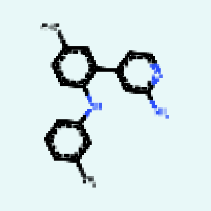 Nc1cc(-c2cc(C=O)ccc2Nc2cccc(C(F)(F)F)c2)ccn1